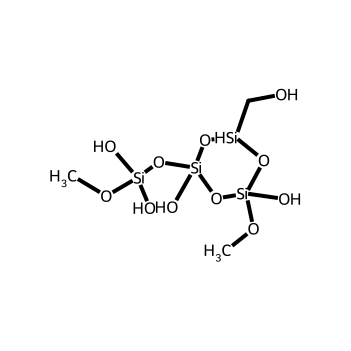 CO[Si](O)(O)O[Si]1(O)O[SiH](CO)O[Si](O)(OC)O1